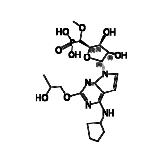 COC([C@@H]1O[C@@H](n2ccc3c(NC4CCCC4)nc(OCC(C)O)nc32)[C@H](O)[C@@H]1O)P(=O)(O)O